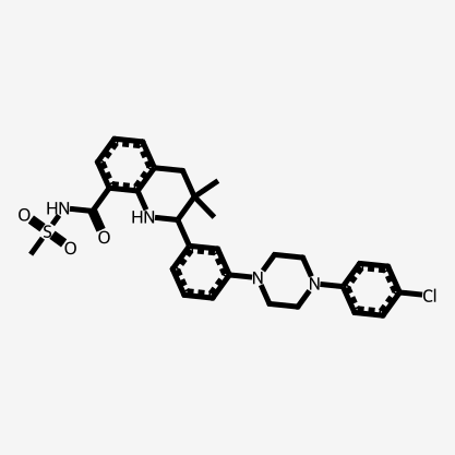 CC1(C)Cc2cccc(C(=O)NS(C)(=O)=O)c2NC1c1cccc(N2CCN(c3ccc(Cl)cc3)CC2)c1